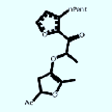 CCCCCc1ccoc1C(=O)C(C)OC1=C(C)OC(C(C)=O)C1